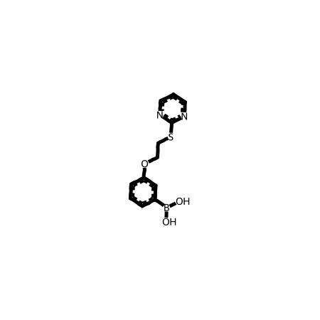 OB(O)c1cccc(OCCSc2ncccn2)c1